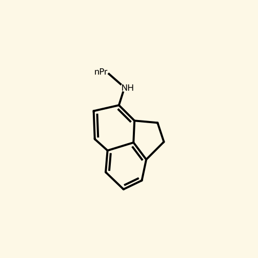 CCCNc1ccc2cccc3c2c1CC3